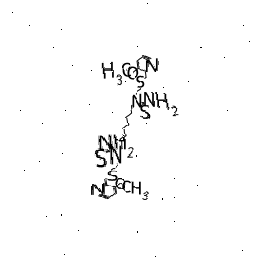 COc1cccnc1CSCCN(CCCCCCCCN(CCSCc1ncccc1OC)C(N)=S)C(N)=S